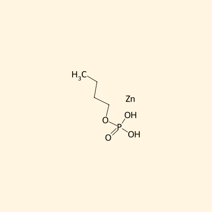 CCCCOP(=O)(O)O.[Zn]